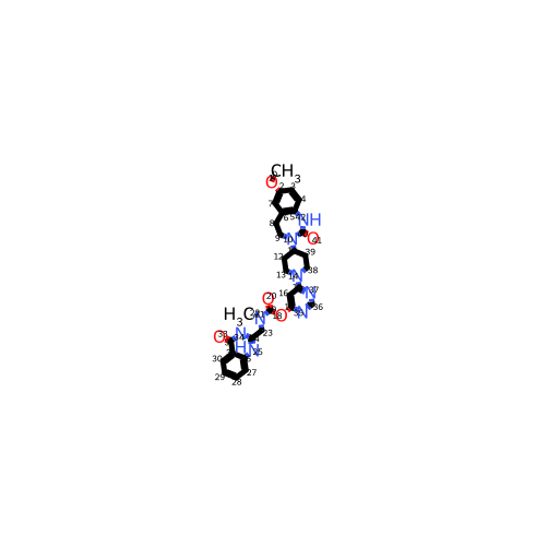 COc1ccc2c(c1)CCN(C1CCN(c3cc(OC(=O)N(C)Cc4nc5ccccc5c(=O)[nH]4)ncn3)CC1)C(=O)N2